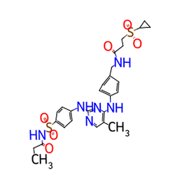 CCC(=O)NS(=O)(=O)c1ccc(Nc2ncc(C)c(Nc3ccc(CNC(=O)CCS(=O)(=O)C4CC4)cc3)n2)cc1